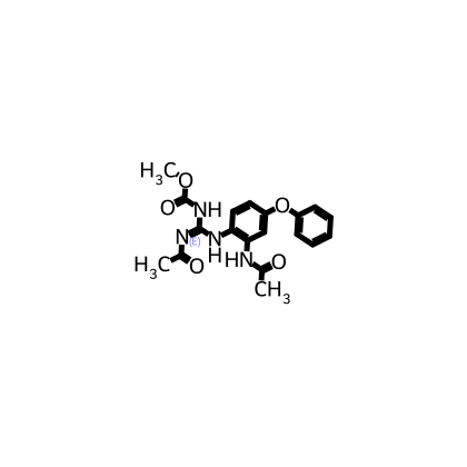 COC(=O)N/C(=N/C(C)=O)Nc1ccc(Oc2ccccc2)cc1NC(C)=O